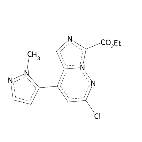 CCOC(=O)c1ncc2c(-c3ccnn3C)cc(Cl)nn12